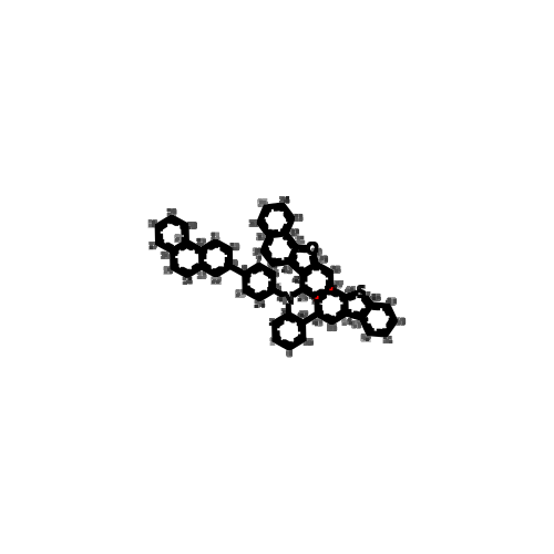 c1ccc(N(c2ccc(-c3ccc4c(ccc5ccccc54)c3)cc2)c2cccc3oc4c5ccccc5ccc4c23)c(-c2ccc3sc4ccccc4c3c2)c1